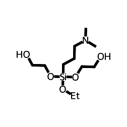 CCO[Si](CCCN(C)C)(OCCO)OCCO